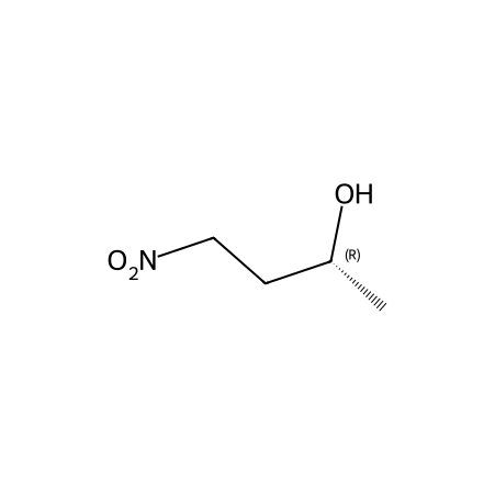 C[C@@H](O)CC[N+](=O)[O-]